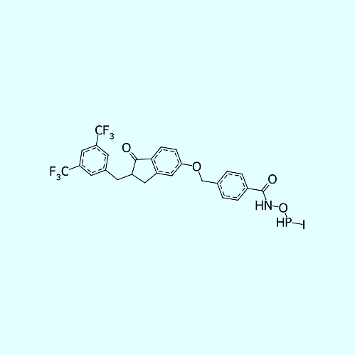 O=C(NOPI)c1ccc(COc2ccc3c(c2)CC(Cc2cc(C(F)(F)F)cc(C(F)(F)F)c2)C3=O)cc1